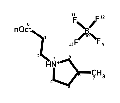 CCCCCCCCCC[NH+]1CCC(C)C1.F[B-](F)(F)F